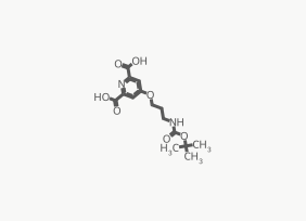 CC(C)(C)OC(=O)NCCCOc1cc(C(=O)O)nc(C(=O)O)c1